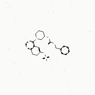 O=C(N[C@@H]1CCCN(c2ncnc3c2C=C(OS(=O)(=O)C(F)(F)F)CC3)C1)OCc1ccccc1